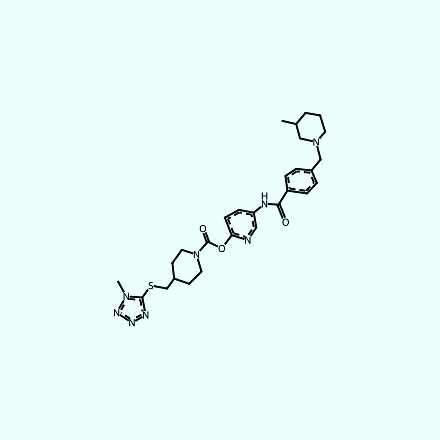 CC1CCCN(Cc2ccc(C(=O)Nc3ccc(OC(=O)N4CCC(CSc5nnnn5C)CC4)nc3)cc2)C1